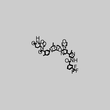 Cc1ccc(N2CC(C)N(CCOc3ncc(-c4cc(NC(=O)c5cccc(C(F)(F)F)c5)cnc4C)cc3N3CCOCC3)C(C)C2)cc1C(=O)N(C=O)C1CCC(=O)NC1=O